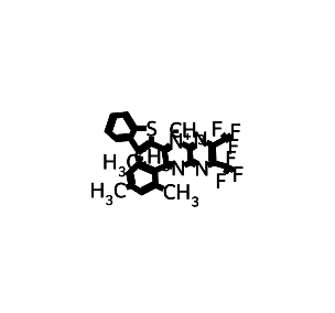 Cc1cc(C)c(-c2nc3nc(C(F)(F)F)c(C(F)(F)F)nc3[n+](C)c2-c2sc3ccccc3c2C)c(C)c1